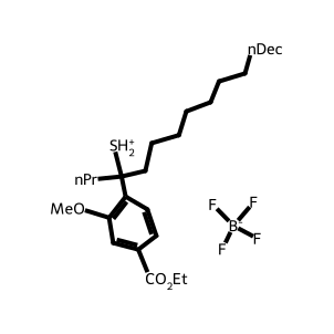 CCCCCCCCCCCCCCCCCC([SH2+])(CCC)c1ccc(C(=O)OCC)cc1OC.F[B-](F)(F)F